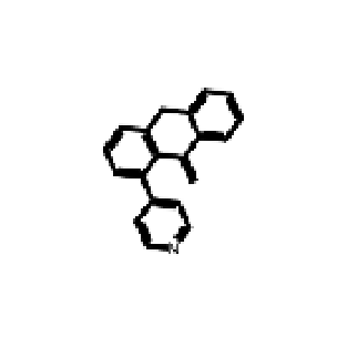 C=C1c2ccccc2Cc2cccc(-c3ccncc3)c21